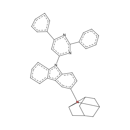 c1ccc(-c2cc(-n3c4ccccc4c4cc(N5C6CC7CC(C6)CC5C7)ccc43)nc(-c3ccccc3)n2)cc1